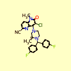 C[C@H]1CN(c2c(Cl)c(=O)n(C)c3ccc(C#N)nc23)CCN1C(c1ccc(F)cc1)c1ccc(F)cc1